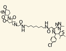 Cc1sc2c(c1C)C(c1ccc(Cl)cc1)=N[C@@H](CC(=O)NCCCCCCCCNC(=O)CN1CC3(CC(=O)N(C4CCC(=O)NC4=O)C3=O)C1)c1nnc(C)n1-2